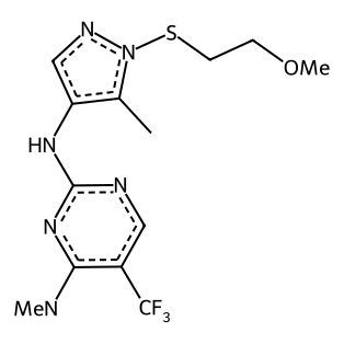 CNc1nc(Nc2cnn(SCCOC)c2C)ncc1C(F)(F)F